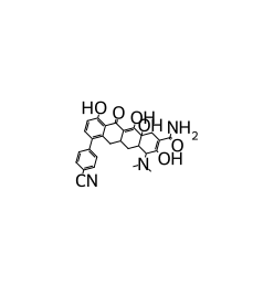 CN(C)C1C(O)=C(C(N)=O)CC2(O)C(O)=C3C(=O)c4c(O)ccc(-c5ccc(C#N)cc5)c4CC3CC12